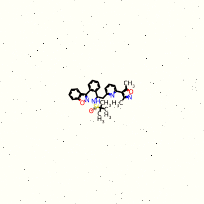 Cc1noc(C)c1-c1cccc(CC(N[S@@+]([O-])C(C)(C)C)c2ccccc2-c2noc3ccccc23)n1